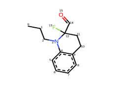 CCCN1c2ccccc2CCC1(F)C=O